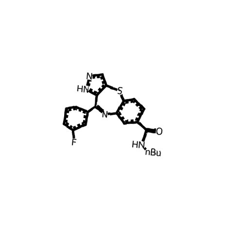 CCCCNC(=O)c1ccc2c(c1)N=C(c1cccc(F)c1)c1[nH]ncc1S2